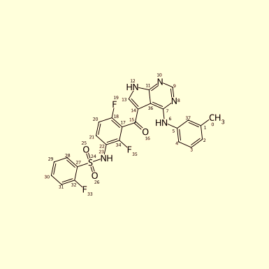 Cc1cccc(Nc2ncnc3[nH]cc(C(=O)c4c(F)ccc(NS(=O)(=O)c5ccccc5F)c4F)c23)c1